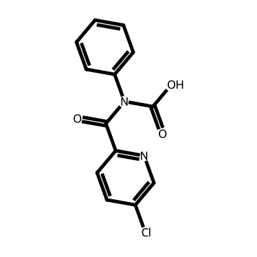 O=C(O)N(C(=O)c1ccc(Cl)cn1)c1ccccc1